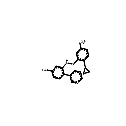 O=C(O)c1ccc(C2CC2)c(SNc2cc(C(F)(F)F)ccc2-c2cccnc2)c1